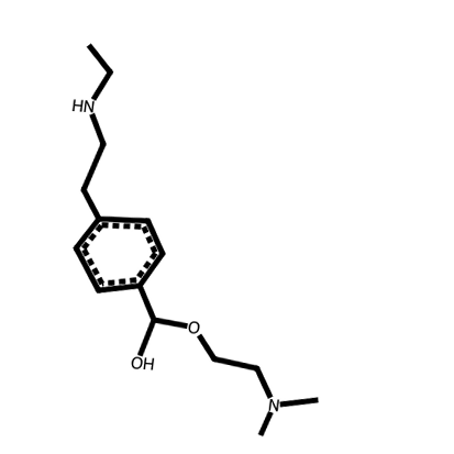 CCNCCc1ccc(C(O)OCCN(C)C)cc1